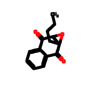 CCCCC12OC1C(=O)c1ccccc1C2=O